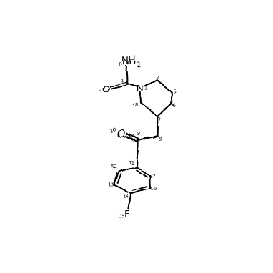 NC(=O)N1CCCC(CC(=O)c2ccc(F)cc2)C1